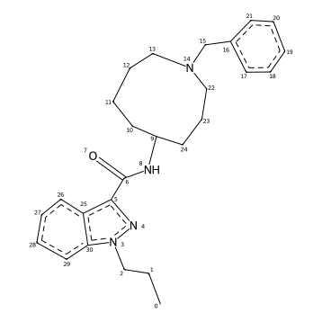 CCCn1nc(C(=O)NC2CCCCN(Cc3ccccc3)CCC2)c2ccccc21